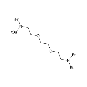 CCN(CC)CCOCCOCCN(C(C)C)C(C)(C)C